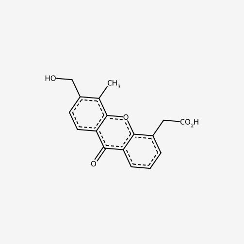 Cc1c(CO)ccc2c(=O)c3cccc(CC(=O)O)c3oc12